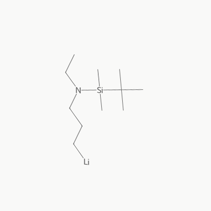 [Li][CH2]CCN(CC)[Si](C)(C)C(C)(C)C